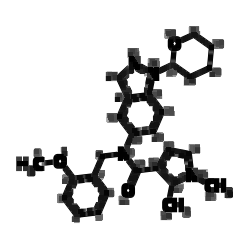 COc1ccccc1CN(C(=O)c1ccn(C)c1C)c1ccc2c(cnn2C2CCCCO2)c1